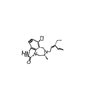 CCC(=CCN1Cc2c(Cl)ccc3[nH]c(=O)n(c23)C[C@@H]1C)CC